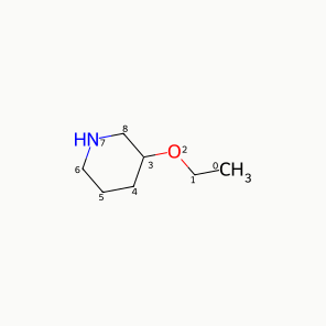 CCOC1CCCNC1